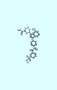 C=CC(=O)N1CCCC(n2nc(-c3cnc(C(=O)Nc4cc(C(F)(F)CC)ccn4)nc3)c3cncc(Cl)c32)C1